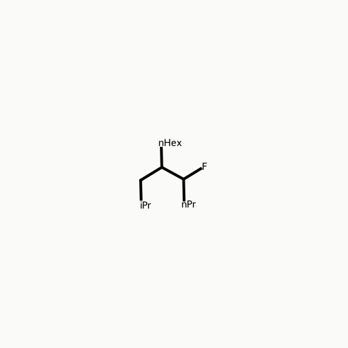 CCCCCCC(CC(C)C)C(F)CCC